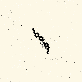 CCCCC1CCC(C2CCC(OC(=O)c3ccc4cc(CCC)sc4c3F)CC2)CC1